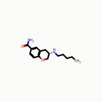 CCCCCN[C@@H]1COc2ccc(C(N)=O)cc2C1